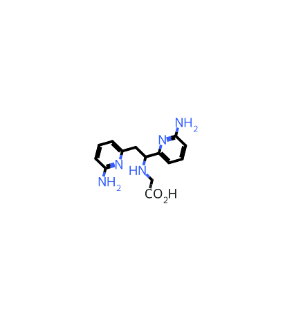 Nc1cccc(CC(NCC(=O)O)c2cccc(N)n2)n1